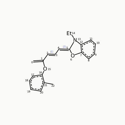 C=C(/C=C/C=C1\Oc2ccccc2N1CC)Oc1ccccc1C